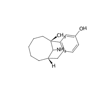 C[C@@]12CCCCC[C@@H](Cc3ccc(O)cc31)C2N